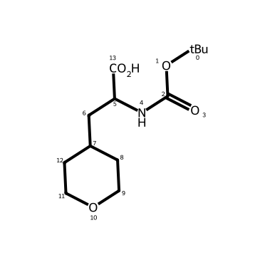 CC(C)(C)OC(=O)NC(CC1CCOCC1)C(=O)O